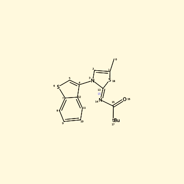 Cc1cn(-c2csc3ccccc23)/c(=N/C(=O)C(C)(C)C)s1